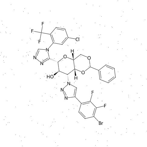 O[C@@H]1[C@@H](n2cc(-c3ccc(Br)c(F)c3F)nn2)[C@H]2OC(c3ccccc3)OC[C@H]2O[C@H]1c1nncn1-c1cc(Cl)ccc1C(F)(F)F